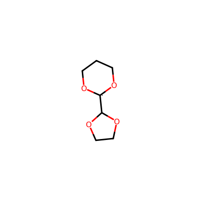 C1CO[C](C2OCCO2)OC1